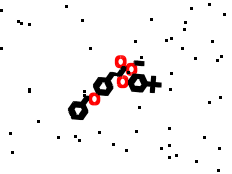 CCOC(=O)[C@H](Cc1ccc(OCc2ccccc2)cc1)Oc1ccc(C(C)(C)C)cc1